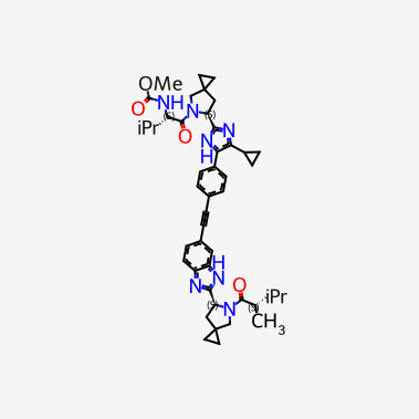 COC(=O)N[C@H](C(=O)N1CC2(CC2)C[C@H]1c1nc(C2CC2)c(-c2ccc(C#Cc3ccc4nc([C@@H]5CC6(CC6)CN5C(=O)[C@@H](C)C(C)C)[nH]c4c3)cc2)[nH]1)C(C)C